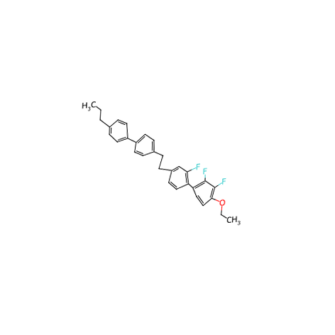 CCCc1ccc(-c2ccc(CCc3ccc(-c4ccc(OCC)c(F)c4F)c(F)c3)cc2)cc1